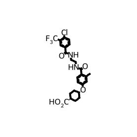 Cc1cc(O[C@H]2CC[C@@H](C(=O)O)CC2)ccc1C(=O)NCCNC(=O)c1ccc(Cl)c(C(F)(F)F)c1